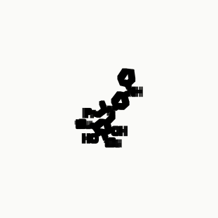 CC(C)CC(C)N(Cc1cc(C(C)(C)C)c(O)c(C(C)(C)C)c1O)c1ccc(Nc2ccccc2)cc1